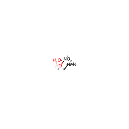 CNC.O.O=[N+]([O-])O